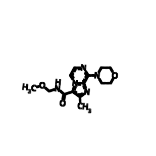 COCNC(=O)c1c(C)nc2c(N3CCOCC3)nccn12